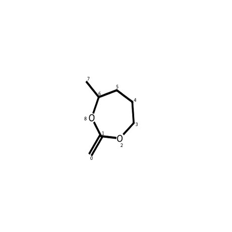 C=C1OCCCC(C)O1